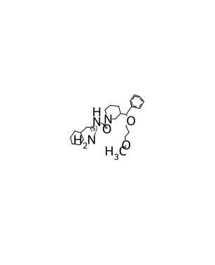 COCCCOC(c1ccccc1)C1CCCN(C(=O)N[C@H](CN)CC2CCCCC2)C1